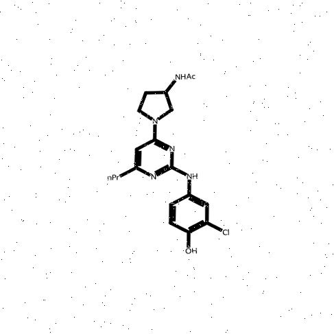 CCCc1cc(N2CCC(NC(C)=O)C2)nc(Nc2ccc(O)c(Cl)c2)n1